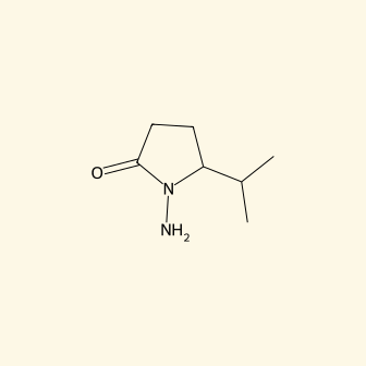 CC(C)C1CCC(=O)N1N